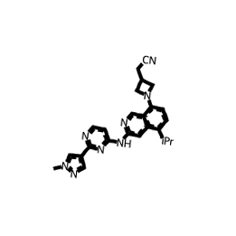 CC(C)c1ccc(N2CC(CC#N)C2)c2cnc(Nc3ccnc(-c4cnn(C)c4)n3)cc12